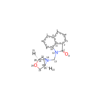 O=C1c2cccc3cccc(c23)N1CN1C[C@H]2C[C@@H]1CO2